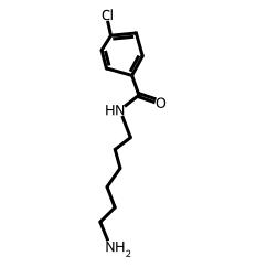 NCCCCCCNC(=O)c1ccc(Cl)cc1